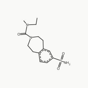 CCN(C)C(=O)N1CCc2ccc(S(N)(=O)=O)cc2CC1